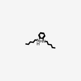 CCCCCNc1ccccc1NCCCCC